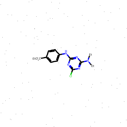 CCOC(=O)c1ccc(Nc2nc(Cl)nc(N(CC)CC)n2)cc1